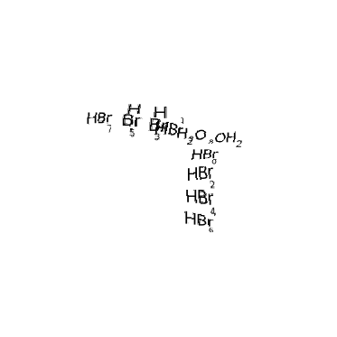 Br.Br.Br.Br.Br.Br.Br.Br.O.O